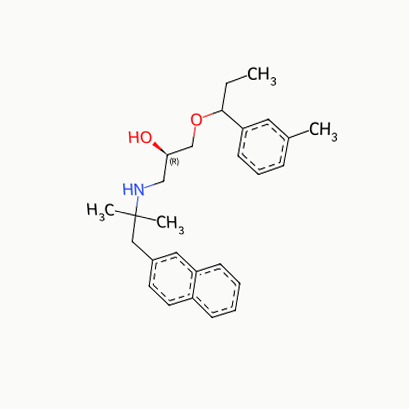 CCC(OC[C@H](O)CNC(C)(C)Cc1ccc2ccccc2c1)c1cccc(C)c1